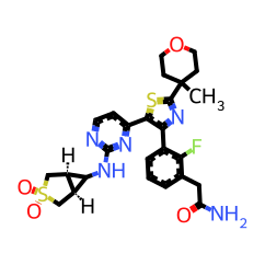 CC1(c2nc(-c3cccc(CC(N)=O)c3F)c(-c3ccnc(NC4[C@H]5CS(=O)(=O)C[C@@H]45)n3)s2)CCOCC1